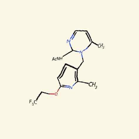 CC(=O)NC1N=CC=C(C)N1Cc1ccc(OCC(F)(F)F)nc1C